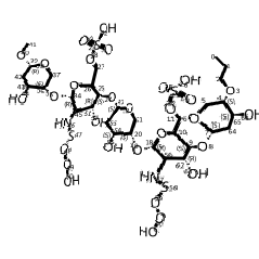 CCCO[C@H]1CO[C@@H](O[C@@H]2C(COS(=O)(=O)O)O[C@@H](O[C@H]3CO[C@@H](O[C@@H]4C(COS(=O)(=O)O)O[C@@H](O[C@H]5CO[C@@H](OC)C[C@@H]5O)C(NSOOO)[C@H]4O)C[C@@H]3O)C(NSOOO)[C@H]2O)C[C@@H]1O